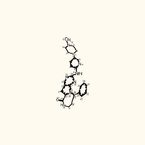 CN1CCN(c2ccc(Nc3ncc4cc5n(c4n3)[C@@H](c3ccccc3)CCNC5=O)nc2)CC1